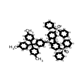 Cc1ccc(C(c2ccc(C)cc2)(c2ccc(C)cc2)c2ccc(-n3c4ccc(P(=O)(c5ccccc5)c5ccccc5)cc4c4cc(P(=O)(c5ccccc5)c5ccccc5)ccc43)cc2)cc1